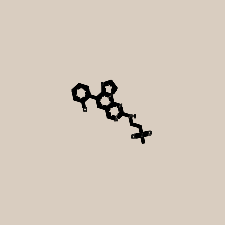 CS(=O)(=O)CCNc1ncc2cc(-c3ccccc3Cl)c3nccn3c2n1